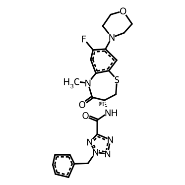 CN1C(=O)[C@@H](NC(=O)c2nnn(Cc3ccccc3)n2)CSc2cc(N3CCOCC3)c(F)cc21